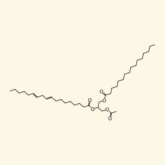 CCCCCC=CCC=CCCCCCCCC(=O)OC(COC(C)=O)COC(=O)CCCCCCCCCCCCCCC